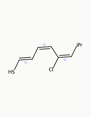 CC(C)\C=C(Cl)/C=C\C=C\S